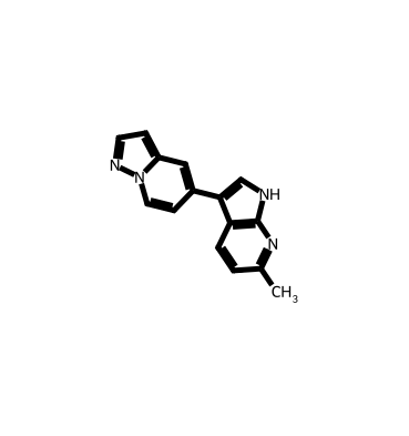 Cc1ccc2c(-c3ccn4nccc4c3)c[nH]c2n1